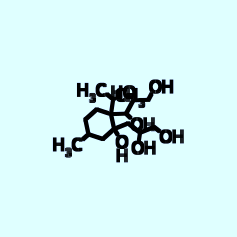 CC1CCC(C(C)C)(C(O)C(O)CO)C(O)(CC(O)CO)C1